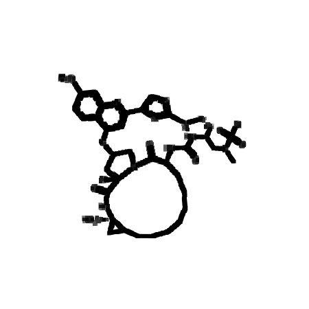 CCS(=O)(=O)N(C)CC(NC(=O)N[C@H]1CCCCCCCC2C[C@@]2(C(=O)O)NC(=O)[C@@H]2C[C@@H](Oc3cc(-c4csc(NC(C)C)n4)nc4cc(OC)ccc34)CN2C1=O)C(C)(C)C